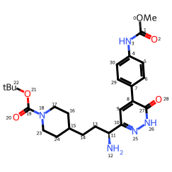 COC(=O)Nc1ccc(-c2cc([C@@H](N)CCC3CCN(C(=O)OC(C)(C)C)CC3)n[nH]c2=O)cc1